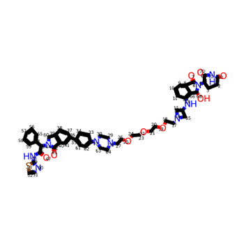 O=C1CCC(N2C(=O)c3cccc(NC4CN(CCOCCOCCOCCN5CCN(c6ccc(-c7ccc8c(c7)C(=O)N(C(C(=O)Nc7nccs7)c7ccccc7)C8)cc6)CC5)C4)c3C2O)C(=O)N1